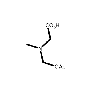 CC(=O)OCN(C)CC(=O)O